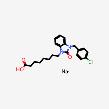 O=C(O)CCCCCCCn1c(=O)n(Cc2ccc(Cl)cc2)c2ccccc21.[Na]